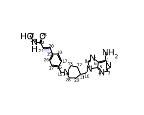 Nc1ncnc2c1ncn2CC1CCN(Cc2ccc(/C=C/C(=O)NO)cc2)CC1